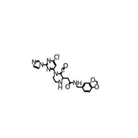 O=C=C1C(CC(=O)NCc2ccc3c(c2)OCO3)NCCN1c1cc(Cl)nc(-n2ccnc2)n1